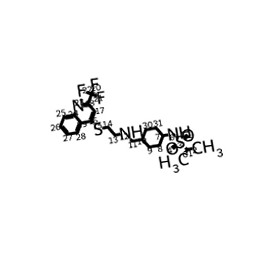 CC(C)S(=O)(=O)NC1CCC(CNCCSc2cc(C(F)(F)F)nc3ccccc23)CC1